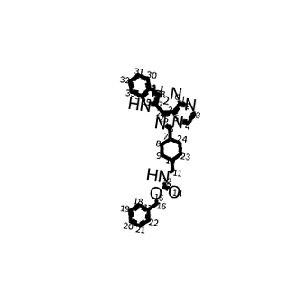 Nc1nccn2c(C3CCC(CNC(=O)OCc4ccccc4)CC3)nc(-c3cc4ccccc4[nH]3)c12